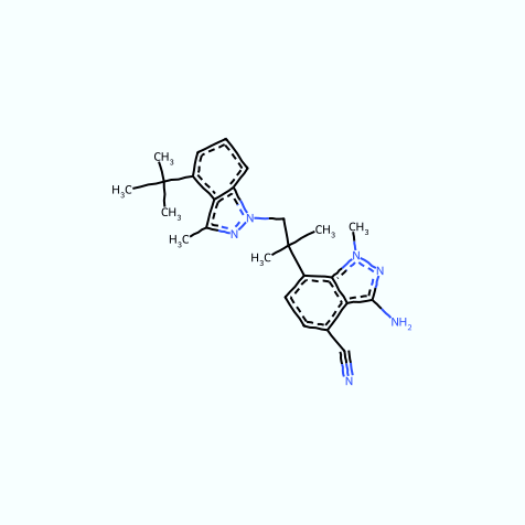 Cc1nn(CC(C)(C)c2ccc(C#N)c3c(N)nn(C)c23)c2cccc(C(C)(C)C)c12